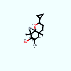 CC12CCC(C3CC3)O[C@H]1C(C)(C)C(O)=C(C#N)C2